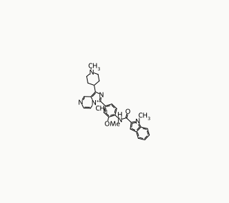 COc1cc(C2=NC(C3CCN(C)CC3)=C3C=NC=C[N+]23C)ccc1NC(=O)c1cc2ccccc2n1C